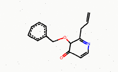 C=CCC1=NC=CC(=O)C1OCc1ccccc1